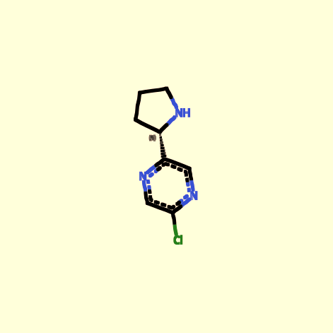 Clc1cnc([C@@H]2CCCN2)cn1